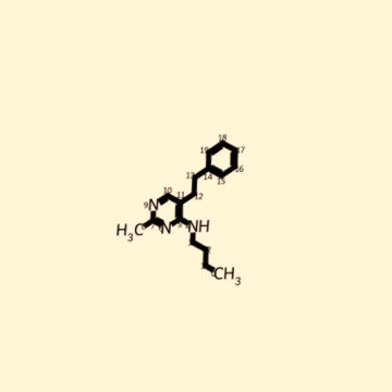 CCCCNc1nc(C)ncc1CCc1ccccc1